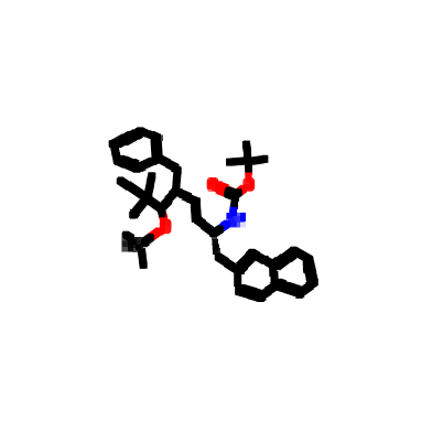 C[SiH](C)OC(C(C=C[C@@H](Cc1ccc2ccccc2c1)NC(=O)OC(C)(C)C)Cc1ccccc1)C(C)(C)C